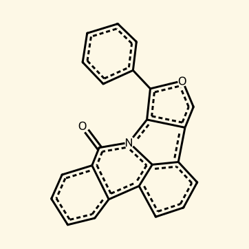 O=c1c2ccccc2c2cccc3c4coc(-c5ccccc5)c4n1c23